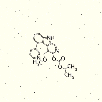 COCc1c(OC(=O)OC(C)C)ncc2[nH]c3cccc(-c4cccnc4)c3c12